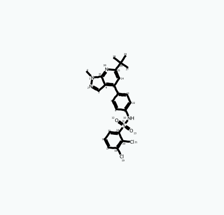 Cn1ncc2c(-c3ccc(NS(=O)(=O)c4cccc(Cl)c4Cl)cc3)cc(C(C)(C)C)nc21